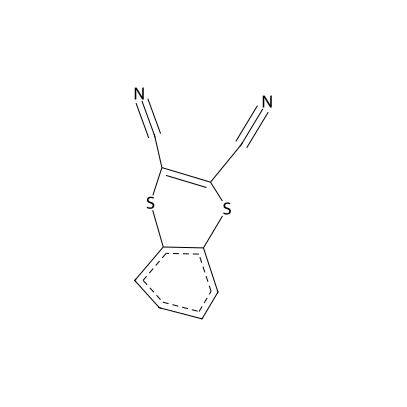 N#CC1=C(C#N)Sc2ccccc2S1